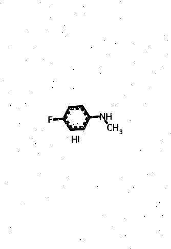 CNc1ccc(F)cc1.I